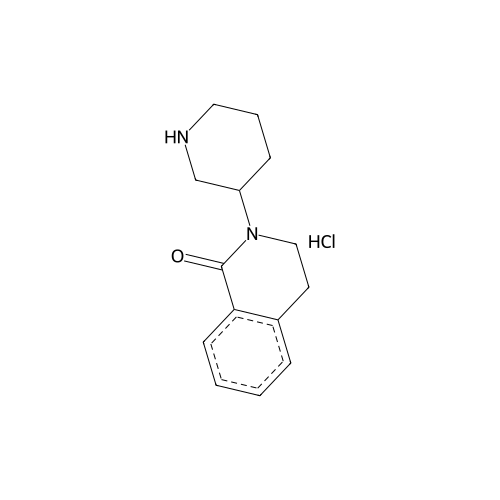 Cl.O=C1c2ccccc2CCN1C1CCCNC1